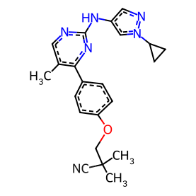 Cc1cnc(Nc2cnn(C3CC3)c2)nc1-c1ccc(OCC(C)(C)C#N)cc1